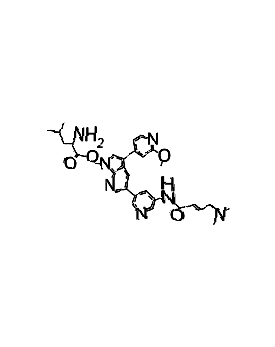 COc1cc(-c2cn(COC(=O)C(N)CC(C)C)c3ncc(-c4cncc(NC(=O)C=CCN(C)C)c4)cc23)ccn1